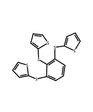 [c]1ccc(Sc2cccs2)c(Sc2cccs2)c1Sc1cccs1